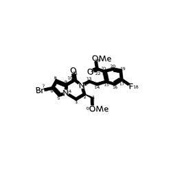 COC[C@H]1Cn2cc(Br)cc2C(=O)N1CCc1cc(F)ccc1C(=O)OC